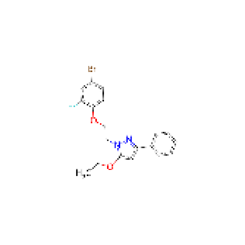 CCOc1cc(-c2ccccc2)nn1CCOc1ccc(Br)cc1F